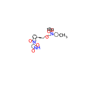 CC1CCC(N(CCOCCC#Cc2cccc3c2CN(C2CCC(=O)NC2=O)C3=O)C(=O)OC(C)(C)C)CC1